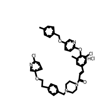 Cc1ccc(COc2ccc(Oc3c(C)cc(C=CC(=O)N4CCN(Cc5ccc(CCOc6ccc(Cl)nc6)cc5)CC4)cc3Cl)nc2)cc1.Cl